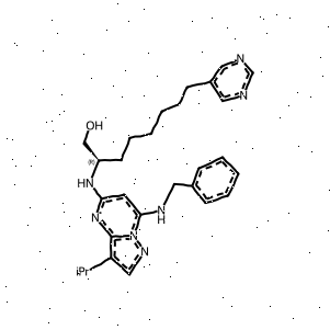 CC(C)c1cnn2c(NCc3ccccc3)cc(N[C@@H](CO)CCCCCCc3cncnc3)nc12